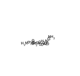 CC(CC(=O)OCOC(=O)COCCOC(=O)C(N)Cc1ccc(N)cc1)OC(=O)C(N)Cc1ccc(N)cc1